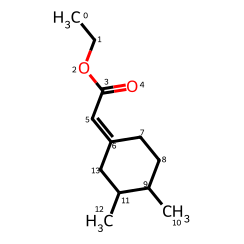 CCOC(=O)C=C1CCC(C)C(C)C1